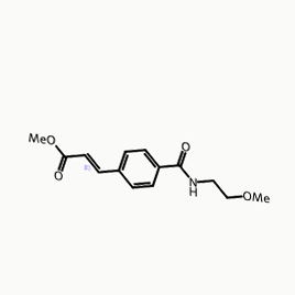 COCCNC(=O)c1ccc(/C=C/C(=O)OC)cc1